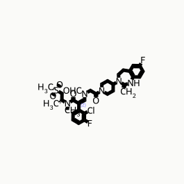 C=C1Nc2ccc(F)cc2CCN1C1CCN(C(=O)CN(C=O)/C=C(\C(=O)N(C)[C@H](C)CS(C)(=O)=O)c2cccc(F)c2Cl)CC1